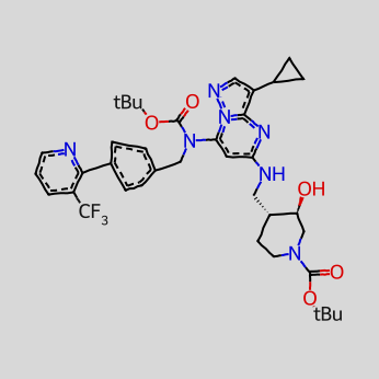 CC(C)(C)OC(=O)N1CC[C@H](CNc2cc(N(Cc3ccc(-c4ncccc4C(F)(F)F)cc3)C(=O)OC(C)(C)C)n3ncc(C4CC4)c3n2)[C@@H](O)C1